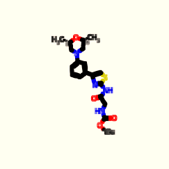 C[C@@H]1CN(c2cccc(-c3csc(NC(=O)CNC(=O)OC(C)(C)C)n3)c2)C[C@H](C)O1